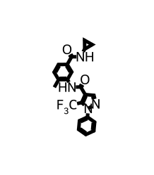 Cc1ccc(C(=O)NC2CC2)cc1NC(=O)c1cnn(-c2ccccc2)c1C(F)(F)F